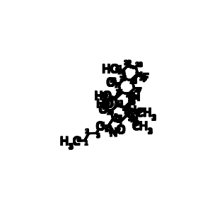 CCCCOc1noc2c1C(=O)[C@@]1(O)C(O)=C3C(=O)c4c(O)ccc(F)c4C[C@H]3C[C@H]1[C@@H]2N(C)C